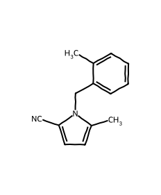 Cc1ccccc1Cn1c(C)ccc1C#N